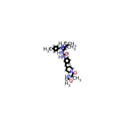 CC(=O)NC(C)C(=O)N1CCC(Cc2cccc(NC(=O)Nc3cc(C(C)(C)C)nn3-c3ccc(C)cc3)c2)CC1